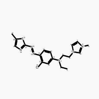 CCN(CCn1cc[n+](C)c1)c1ccc(/N=N/c2ncc(C)s2)c(Cl)c1